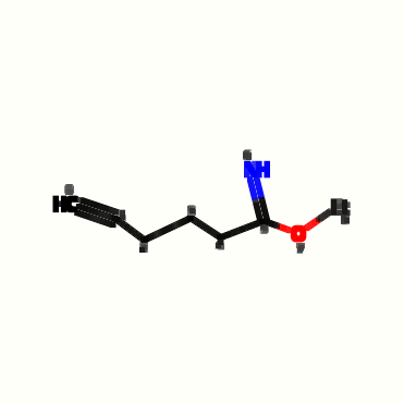 C#CCCCC(=N)OCC